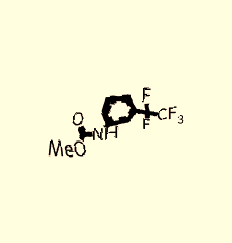 COC(=O)Nc1cccc(C(F)(F)C(F)(F)F)c1